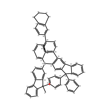 CC1(C)c2ccccc2-c2ccc(N(c3ccccc3)c3cc4c(cc3-c3ccc(-c5ccc6c(c5)CCCC6)cc3)-c3ccccc3C4(c3ccccc3)c3ccccc3)cc21